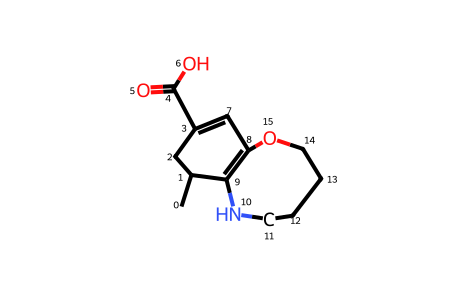 CC1CC(C(=O)O)=CC2=C1NCCCCO2